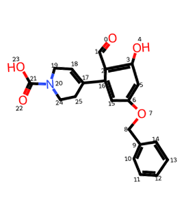 O=Cc1c(O)cc(OCc2ccccc2)cc1C1=CCN(C(=O)O)CC1